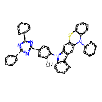 N#Cc1cc(-c2nc(-c3ccccc3)nc(-c3ccccc3)n2)ccc1-n1c2ccccc2c2cc3c(cc21)Sc1ccccc1N3c1ccccc1